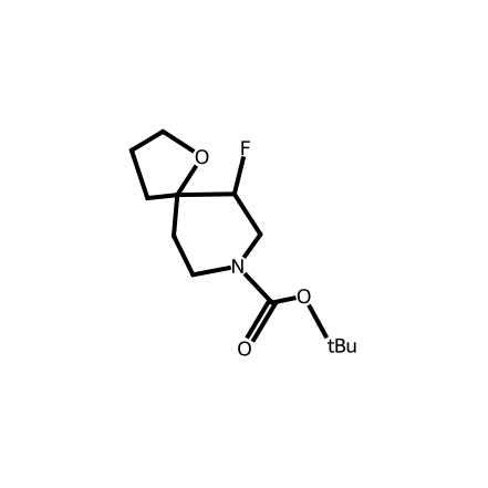 CC(C)(C)OC(=O)N1CCC2(CCCO2)C(F)C1